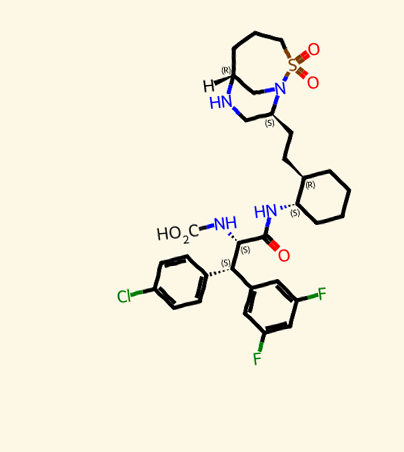 O=C(O)N[C@H](C(=O)N[C@H]1CCCC[C@@H]1CC[C@H]1CN[C@@H]2CCCS(=O)(=O)N1C2)[C@@H](c1ccc(Cl)cc1)c1cc(F)cc(F)c1